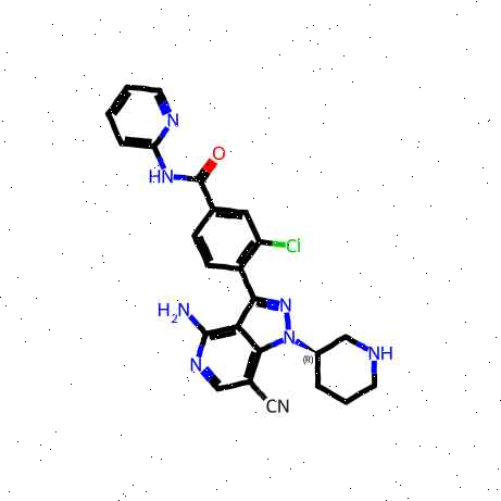 N#Cc1cnc(N)c2c(-c3ccc(C(=O)Nc4ccccn4)cc3Cl)nn([C@@H]3CCCNC3)c12